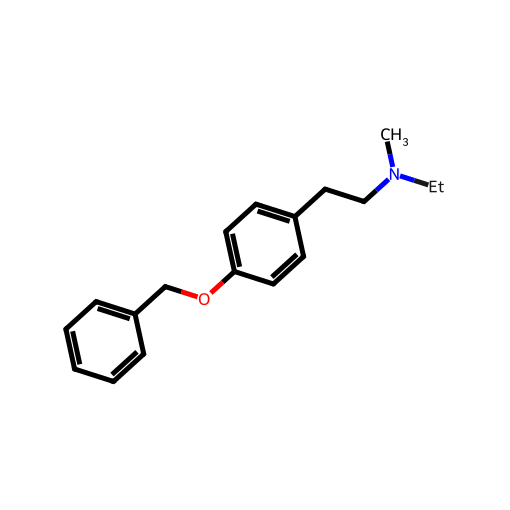 CCN(C)CCc1ccc(OCc2ccccc2)cc1